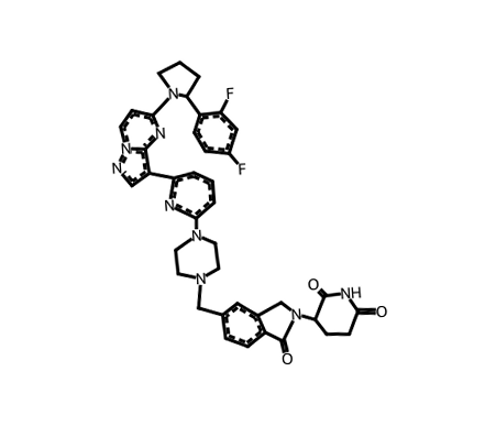 O=C1CCC(N2Cc3cc(CN4CCN(c5cccc(-c6cnn7ccc(N8CCCC8c8ccc(F)cc8F)nc67)n5)CC4)ccc3C2=O)C(=O)N1